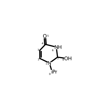 CC(C)N1C=CC(=O)NC1O